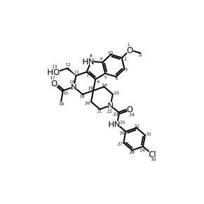 COc1ccc2c3c([nH]c2c1)[C@H](CO)N(C(C)=O)CC31CCN(C(=O)Nc2ccc(Cl)cc2)CC1